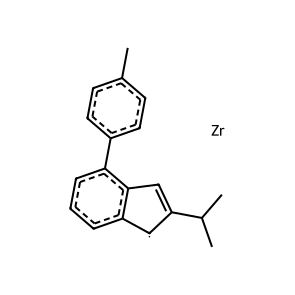 Cc1ccc(-c2cccc3c2C=C(C(C)C)[CH]3)cc1.[Zr]